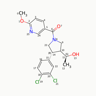 COc1ccc(C(=O)N2CC([C@H](C)O)[C@H](c3ccc(Cl)c(Cl)c3)C2)cn1